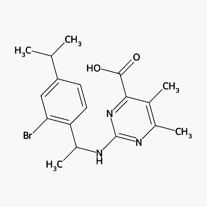 Cc1nc(NC(C)c2ccc(C(C)C)cc2Br)nc(C(=O)O)c1C